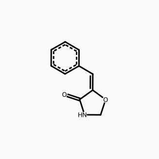 O=C1NCOC1=Cc1ccccc1